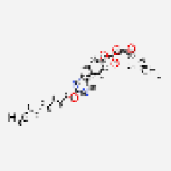 CCCCCCCCOc1ncc(-c2ccc(OC(=O)O[C@H]3O[C@@H]3CCC)cc2)cn1